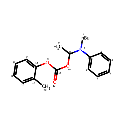 CCCCN(c1ccccc1)C(C)OC(=O)Oc1ccccc1C